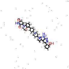 Nc1nnc(-c2ccccc2O)cc1-c1ccn(C2CCN(C3CCC(c4cccc5c4OCCN5[C@@H]4CCC(=O)NC4=O)CC3)CC2)n1